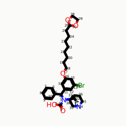 O=C(O)N(C(c1ccccc1)c1cc(Br)cc(OCCCCCCCCC2OCCO2)c1)C1CN2CCC1CC2